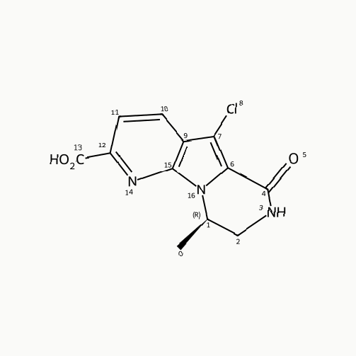 C[C@@H]1CNC(=O)c2c(Cl)c3ccc(C(=O)O)nc3n21